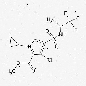 COC(=O)c1c(Cl)c(S(=O)(=O)N[C@H](C)C(F)(F)F)cn1C1CC1